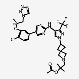 CC(=O)OC(C)(C)CN1CC2(CC(n3cc(Nc4ncc(-c5ccc(Cl)c(O[C@@H](C)Cn6cnnn6)c5)cn4)c(C(F)(F)F)n3)C2)C1